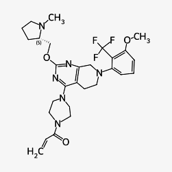 C=CC(=O)N1CCN(c2nc(OC[C@@H]3CCCN3C)nc3c2CCN(c2cccc(OC)c2C(F)(F)F)C3)CC1